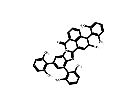 Cc1cccc(C)c1-c1cc(-c2c(C)cccc2C)c2nc3c4c5c(cccc5c(=O)n3c2c1)C(c1c(C)cccc1C)C(C)C=4